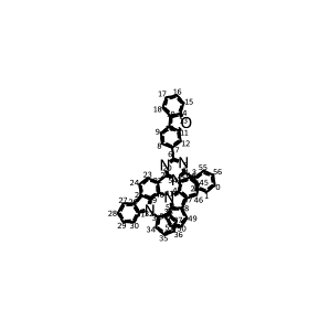 c1ccc(-c2nc(-c3ccc4c(c3)oc3ccccc34)nc(-c3ccc4c5ccccc5n(-c5ccccc5)c4c3-n3c4ccccc4c4ccccc43)n2)cc1